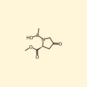 COC(=O)[C@@H]1CC(=O)CN1B(C)O